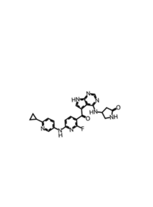 O=C1CC(Nc2ncnc3[nH]cc(C(=O)c4ccc(Nc5ccc(C6CC6)nc5)nc4F)c23)CN1